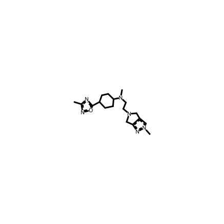 Cc1noc(C2CCC(N(C)CCN3Cc4cn(C)nc4C3)CC2)n1